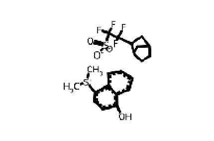 C[S+](C)c1ccc(O)c2ccccc12.O=S(=O)([O-])C(F)(F)C(F)(F)C1CC2CCC1C2